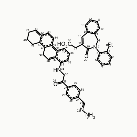 CCc1ccccc1N1Cc2ccccc2C=C(CC(=O)O)C1=O.NN=Cc1ccc(C(=O)CNc2cccc3c2=CCc2c4c(ccc2=3)=CCCC4)cc1